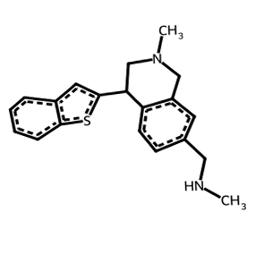 CNCc1ccc2c(c1)CN(C)CC2c1cc2ccccc2s1